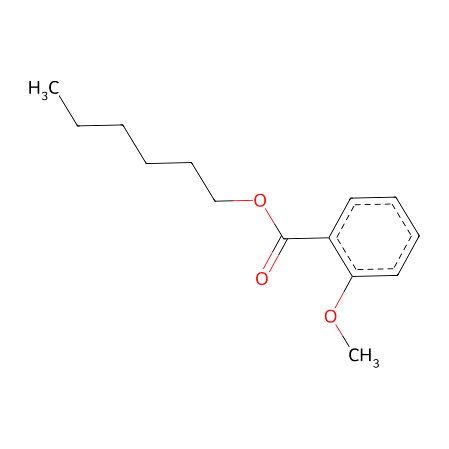 CCCCCCOC(=O)c1ccccc1OC